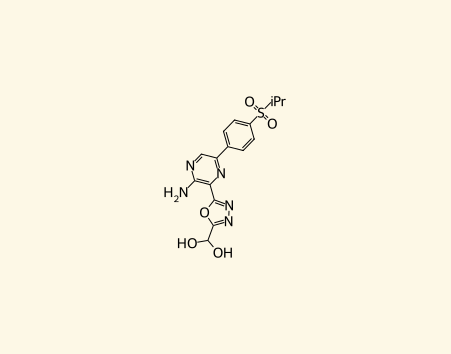 CC(C)S(=O)(=O)c1ccc(-c2cnc(N)c(-c3nnc(C(O)O)o3)n2)cc1